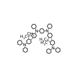 CC1(C)c2cc(N(c3ccccc3)c3ccccc3)ccc2-c2ccc(N(c3ccccc3)c3ccc(N(c4ccccc4)c4ccc5c(c4)C(C)(C)c4cc(N(c6ccccc6)c6ccccc6)ccc4-5)cc3)cc21